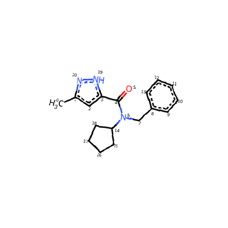 Cc1cc(C(=O)N(Cc2ccccc2)C2CCCC2)[nH]n1